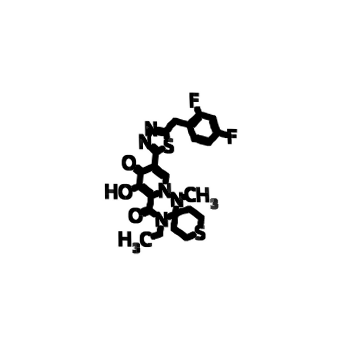 CCN1C(=O)c2c(O)c(=O)c(-c3nnc(Cc4ccc(F)cc4F)s3)cn2N(C)C12CCSCC2